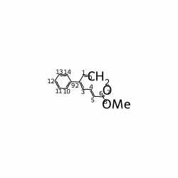 C=C/C(=C\C=C\C(=O)OC)c1ccccc1